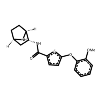 COc1ccccc1Oc1ccc(C(=O)N[C@@H]2C[C@H]3CC[C@@H]2N3)s1